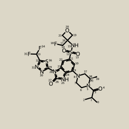 CC(C)C(=O)N1CCN(c2cc(S(=O)(=O)NC3(CF)COC3)cc3c2[nH]c(=O)n3-c2nnc(C(F)F)s2)C[C@H]1C